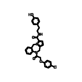 O=C(NCCc1ccc(O)cc1)c1ccc2n1Cc1ccccc1N(C(=O)COc1ccc(Cl)cc1)C2